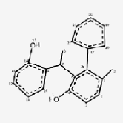 Cc1ccc(O)c(C(C)c2ccccc2O)c1-c1ccccc1